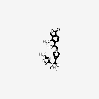 Cc1nsc(N(C)C(=O)C2C3CN(CC(O)c4ccc5c(c4C)COC5=O)CC32)n1